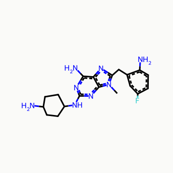 Cn1c(Cc2cc(F)ccc2N)nc2c(N)nc(NC3CCC(N)CC3)nc21